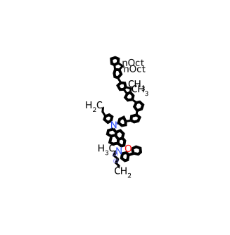 C=C/C=C/C=C(/C)N(c1ccc2ccc3c(N(c4ccc(CC=C)cc4)c4ccc(-c5cccc(-c6cccc(-c7ccc8c(c7)C(C)(C)c7cc(-c9ccc%10c(c9)C(CCCCCCCC)(CCCCCCCC)c9ccccc9-%10)ccc7-8)c6)c5)cc4)ccc4ccc1c2c43)c1cccc2c1oc1ccccc12